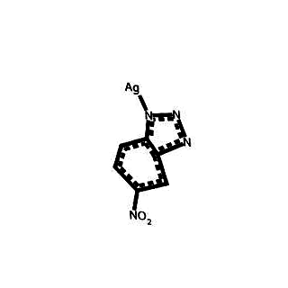 O=[N+]([O-])c1ccc2c(c1)nn[n]2[Ag]